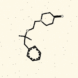 CC(C)(Cc1ccccc1)OCCN1CCC(=O)CC1